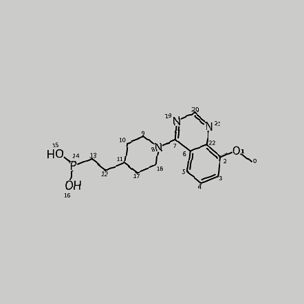 COc1cccc2c(N3CCC(CCP(O)O)CC3)ncnc12